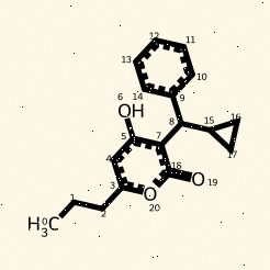 CCCc1cc(O)c(C(c2ccccc2)C2CC2)c(=O)o1